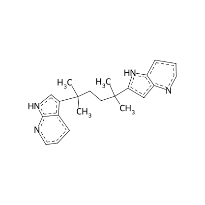 CC(C)(CCC(C)(C)c1c[nH]c2ncccc12)c1cc2ncccc2[nH]1